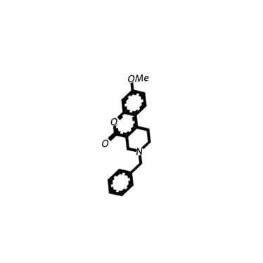 COc1ccc2c3c(c(=O)oc2c1)CN(Cc1ccccc1)CC3